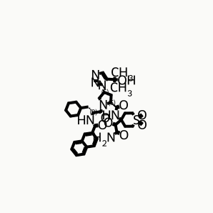 CC(C)(O)c1cnnn1[C@H]1C[C@@H](C(=O)NC2(C(=O)C(N)=O)CCS(=O)(=O)CC2)N(C(=O)[C@@H](CC2CCCCC2)NC(=O)c2ccc3ccccc3c2)C1